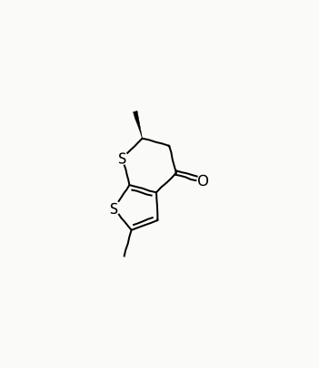 Cc1cc2c(s1)S[C@@H](C)CC2=O